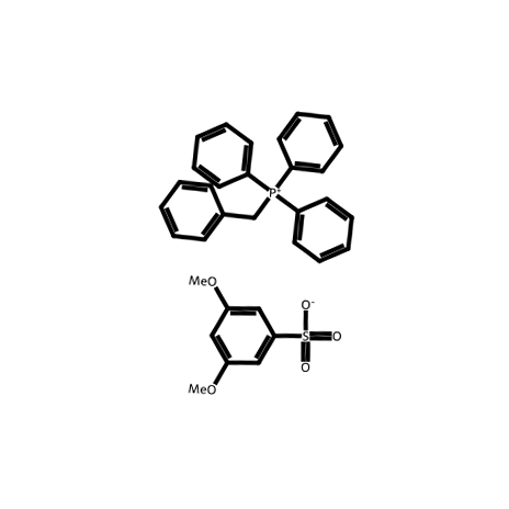 COc1cc(OC)cc(S(=O)(=O)[O-])c1.c1ccc(C[P+](c2ccccc2)(c2ccccc2)c2ccccc2)cc1